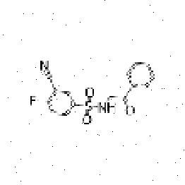 N#Cc1cc(S(=O)(=O)NCC(=O)c2ccccc2)ccc1F